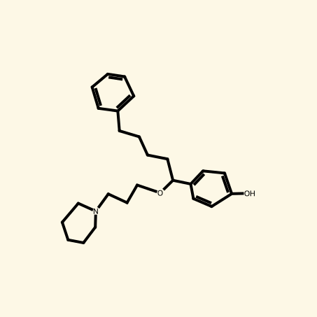 Oc1ccc(C(CCCCc2ccccc2)OCCCN2CCCCC2)cc1